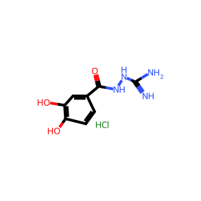 Cl.N=C(N)NNC(=O)c1ccc(O)c(O)c1